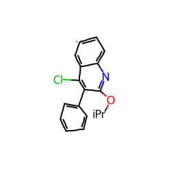 CC(C)Oc1nc2cc[c]cc2c(Cl)c1-c1ccccc1